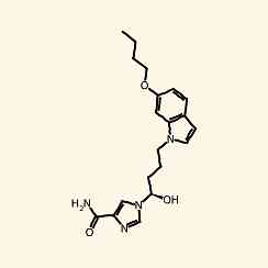 CCCCOc1ccc2ccn(CCC[C@@H](O)n3cnc(C(N)=O)c3)c2c1